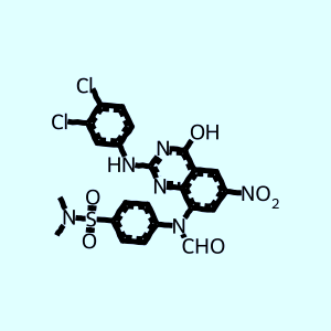 CN(C)S(=O)(=O)c1ccc(N(C=O)c2cc([N+](=O)[O-])cc3c(O)nc(Nc4ccc(Cl)c(Cl)c4)nc23)cc1